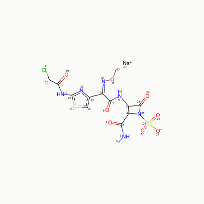 CNC(=O)C1C(NC(=O)C(=NOC)c2csc(NC(=O)CCl)n2)C(=O)N1S(=O)(=O)[O-].[Na+]